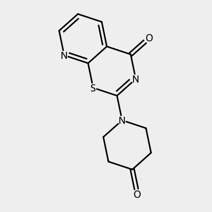 O=C1CCN(c2nc(=O)c3cccnc3s2)CC1